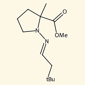 COC(=O)C1(C)CCCN1N=CCC(C)(C)C